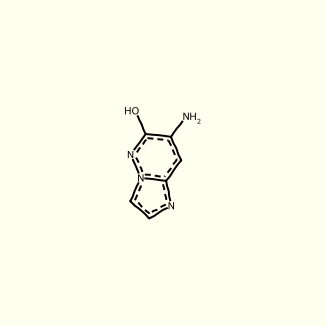 Nc1cc2nccn2nc1O